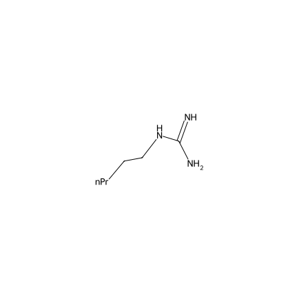 [CH2]CCCCNC(=N)N